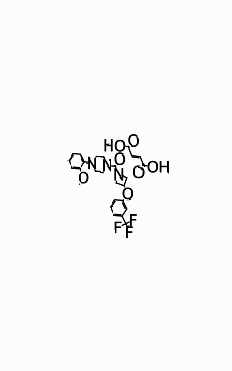 COc1ccccc1N1CCN(C(=O)N2CC(Oc3cccc(C(F)(F)F)c3)C2)CC1.O=C(O)C=CC(=O)O